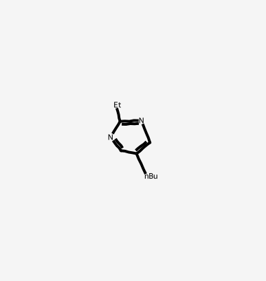 CCCCc1cnc(CC)nc1